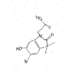 CC1(I)C(=O)N(CC(=O)O)c2cc(O)c(Br)cc21